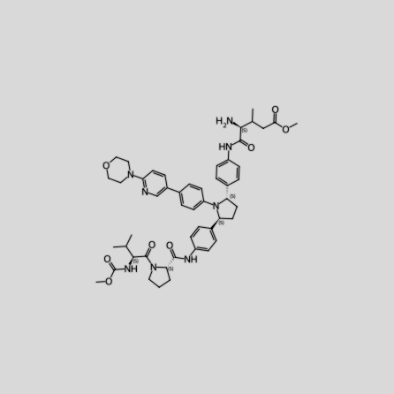 COC(=O)CC(C)[C@H](N)C(=O)Nc1ccc([C@@H]2CC[C@@H](c3ccc(NC(=O)[C@@H]4CCCN4C(=O)[C@@H](NC(=O)OC)C(C)C)cc3)N2c2ccc(-c3ccc(N4CCOCC4)nc3)cc2)cc1